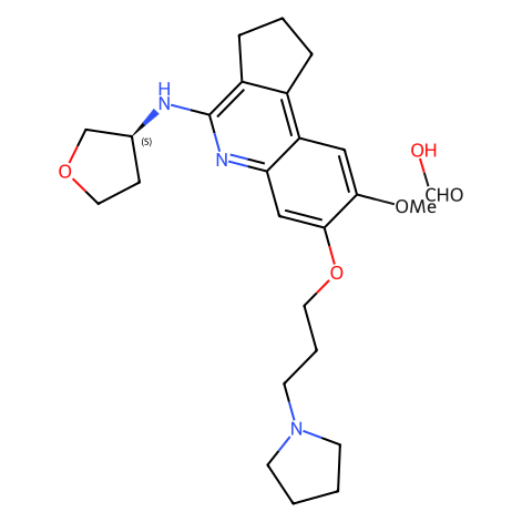 COc1cc2c3c(c(N[C@H]4CCOC4)nc2cc1OCCCN1CCCC1)CCC3.O=CO